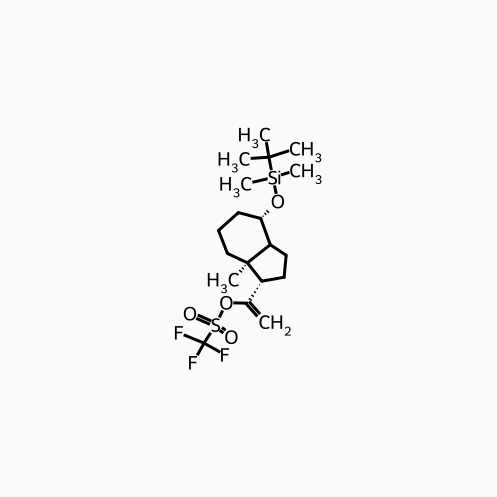 C=C(OS(=O)(=O)C(F)(F)F)[C@H]1CCC2[C@@H](O[Si](C)(C)C(C)(C)C)CCC[C@@]21C